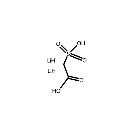 O=C(O)CS(=O)(=O)O.[LiH].[LiH]